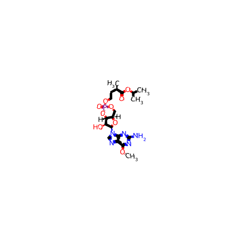 COc1nc(N)nc2c1ncn2[C@@H]1O[C@@H]2COP(=O)(OCC[C@@H](C)C(=O)OC(C)C)O[C@H]2[C@@H]1O